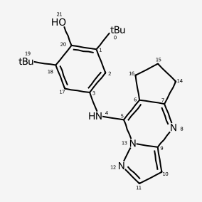 CC(C)(C)c1cc(Nc2c3c(nc4ccnn24)CCC3)cc(C(C)(C)C)c1O